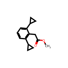 COC(=O)Cc1c(C2CC2)cccc1C1CC1